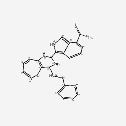 NC(=O)c1cccc2c(C3NC4=C(CN=CC=C4)C(NCc4ccccc4)N3)[nH]cc12